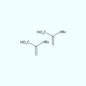 C=C(CCCC)C(=O)O.C=C(CCCC)C(=O)O